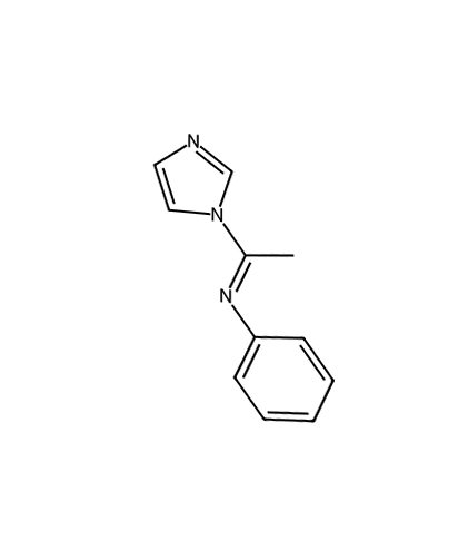 C/C(=N\c1ccccc1)n1ccnc1